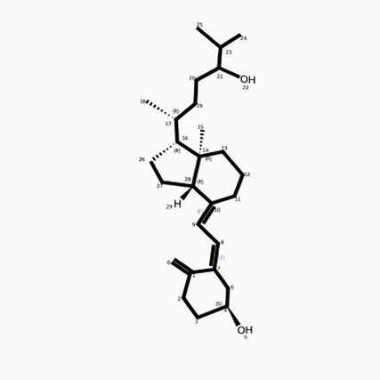 C=C1CC[C@H](O)C/C1=C/C=C1\CCC[C@]2(C)[C@@H]([C@H](C)CCC(O)C(C)C)CC[C@@H]12